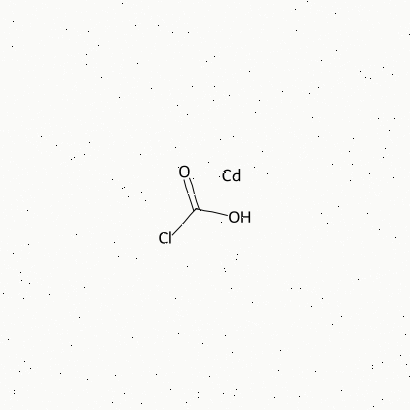 O=C(O)Cl.[Cd]